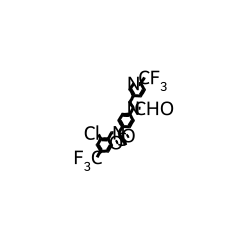 CS(=O)(=O)N(Cc1ccc(C(F)(F)F)cc1Cl)c1ccc(N(C=O)Cc2ccc(C(F)(F)F)nc2)cc1